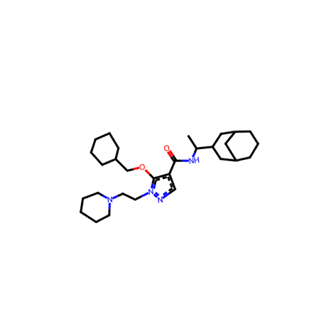 CC(NC(=O)c1cnn(CCN2CCCCC2)c1OCC1CCCCC1)C1CC2CCCC(C2)C1